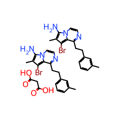 Cc1cccc(CCc2nccn3c(N)c(C)c(Br)c23)c1.Cc1cccc(CCc2nccn3c(N)c(C)c(Br)c23)c1.O=C(O)CC(=O)O